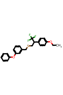 CCOc1ccc(C(CSCc2cccc(Oc3ccccc3)c2)C(F)(F)F)cc1